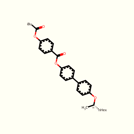 CCCCCC[C@H](C)Oc1ccc(-c2ccc(OC(=O)c3ccc(OC(=O)C(C)CC)cc3)cc2)cc1